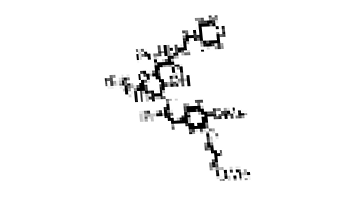 COCCCOc1cc(C[C@@H](C[C@H](NC(=O)OC(C)(C)C)[C@@H](O)C[C@H](C(=O)NCCN2CCOCC2)C(C)C)C(C)C)ccc1OC